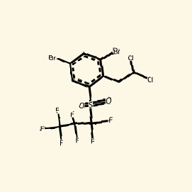 O=S(=O)(c1cc(Br)[c]c(Br)c1CC(Cl)Cl)C(F)(F)C(F)(F)C(F)(F)F